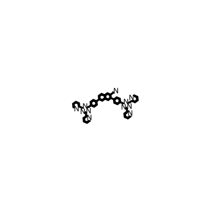 N#Cc1cc2ccc(-c3ccc(-c4nc(-c5ccccn5)nc(-c5ccccn5)n4)cc3)cc2cc1-c1ccc(-c2nc(-c3ccccn3)nc(-c3ccccn3)n2)cc1